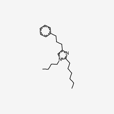 CCCCCCc1nc(CCCc2ccccc2)cn1CCCC